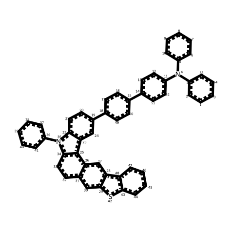 c1ccc(N(c2ccccc2)c2ccc(-c3ccc(-c4ccc5c(c4)c4c6cc7c(cc6ccc4n5-c4ccccc4)sc4ccccc47)cc3)cc2)cc1